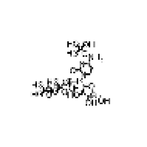 CO.Nc1ccn(C[C@@H]2O[C@H](CO)[C@@H](O)[C@H]2O)c(=O)n1.O=P(O)(O)O.O=P(O)(O)O.O=P(O)(O)O